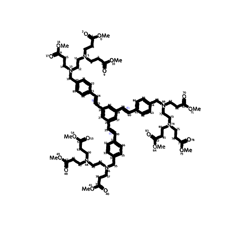 COC(=O)CCN(CCC(=O)OC)CCN(CCC(=O)OC)Cc1ccc(/C=C/c2cc(/C=C/c3ccc(CN(CCC(=O)OC)CCN(CCC(=O)OC)CCC(=O)OC)cc3)cc(/C=C/c3ccc(CN(CCC(=O)OC)CCN(CCC(=O)OC)CCC(=O)OC)cc3)c2)cc1